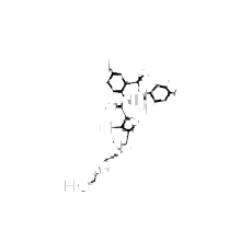 O=C(Nc1ccc(Cl)cc1)c1cc(Cl)ccc1NC(=O)c1scc(CNCCOCCO)c1Cl